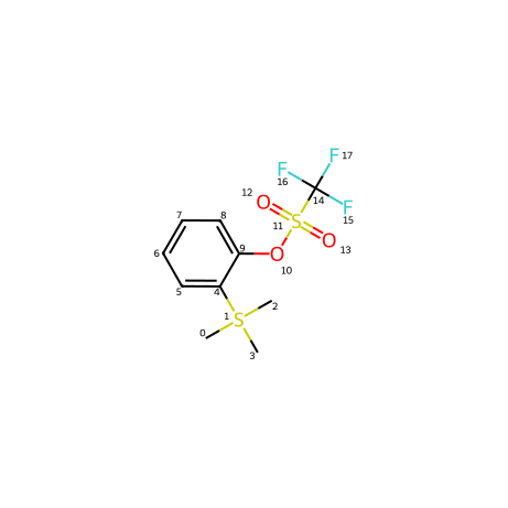 CS(C)(C)c1ccccc1OS(=O)(=O)C(F)(F)F